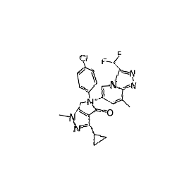 Cc1cc([N+]2(c3ccc(Cl)cc3)Cc3c(c(C4CC4)nn3C)C2=O)cn2c(C(F)F)nnc12